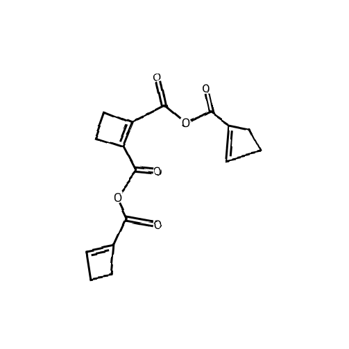 O=C(OC(=O)C1=C(C(=O)OC(=O)C2=CCC2)CC1)C1=CCC1